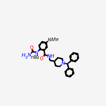 CCCCN(C(N)=O)c1ccc(NC)cc1C(=O)NCC1CCN(C(c2ccccc2)c2ccccc2)CC1